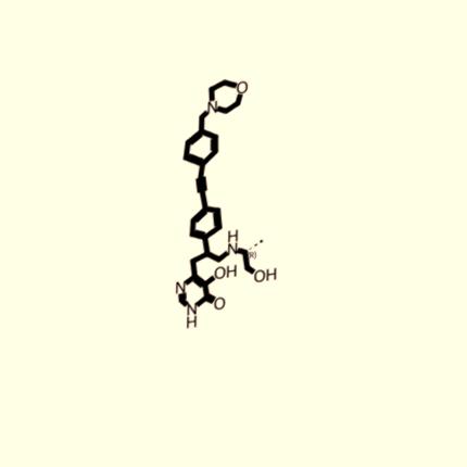 C[C@H](CO)NCC(Cc1nc[nH]c(=O)c1O)c1ccc(C#Cc2ccc(CN3CCOCC3)cc2)cc1